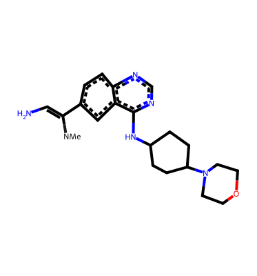 CN/C(=C\N)c1ccc2ncnc(NC3CCC(N4CCOCC4)CC3)c2c1